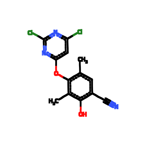 Cc1cc(C#N)c(O)c(C)c1Oc1cc(Cl)nc(Cl)n1